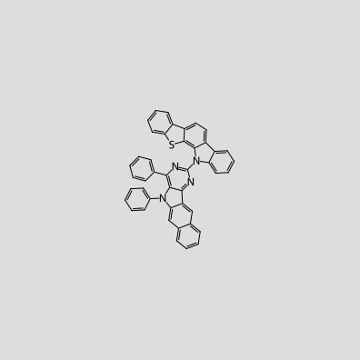 c1ccc(-c2nc(-n3c4ccccc4c4ccc5c6ccccc6sc5c43)nc3c4cc5ccccc5cc4n(-c4ccccc4)c23)cc1